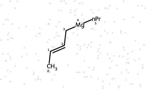 CC=C[CH2][Mg][CH2]CC